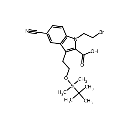 CC(C)(C)[Si](C)(C)OCCc1c(C(=O)O)n(CCBr)c2ccc(C#N)cc12